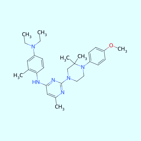 CCN(CC)c1ccc(Nc2cc(C)nc(N3CCN(c4ccc(OC)cc4)C(C)(C)C3)n2)c(C)c1